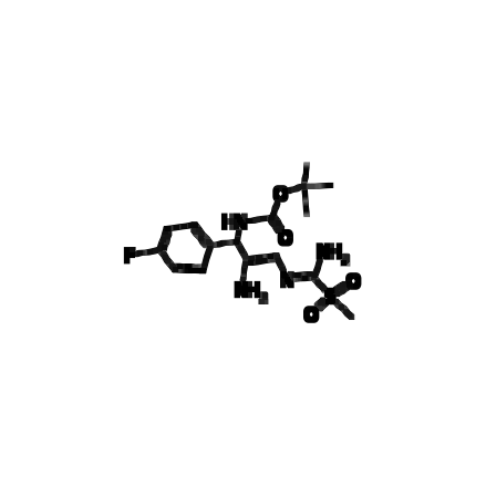 CC(C)(C)OC(=O)NC(/C(N)=C/N=C(\N)S(C)(=O)=O)c1ccc(F)cc1